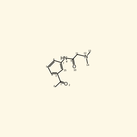 CC(=O)c1cccc(NC(=O)CN(C)C)c1